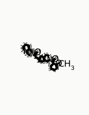 COc1ccccc1C(=O)N1CCc2cc(CC(=O)N3CCN4CCCCC4C3)ccc2C1